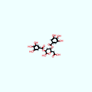 O=C(O)CC1OC(O)C(OC(=O)c2cc(O)c(O)c(O)c2)CC1OC(=O)c1cc(O)c(O)c(O)c1